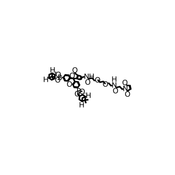 CC1(C)[C@@H]2CC3OB(c4ccc5c(c4)Oc4cc(B6OC7C[C@@H]8C[C@@H](C8(C)C)[C@]7(C)O6)ccc4C54OC(=O)c5cc(NC(=O)CCOCCOCCNC(=O)CCN6C(=O)C=CC6=O)ccc54)O[C@@]3(C)[C@H]1C2